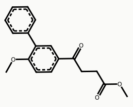 COC(=O)CCC(=O)c1ccc(OC)c(-c2ccccc2)c1